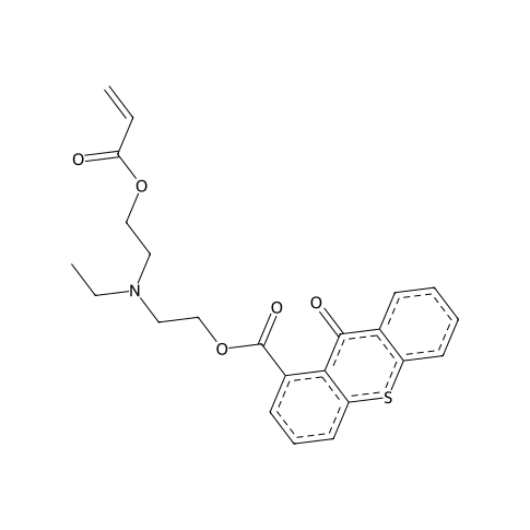 C=CC(=O)OCCN(CC)CCOC(=O)c1cccc2sc3ccccc3c(=O)c12